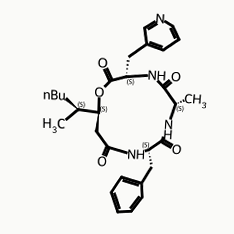 CCCC[C@H](C)[C@@H]1CC(=O)N[C@@H](Cc2ccccc2)C(=O)N[C@@H](C)C(=O)N[C@@H](Cc2cccnc2)C(=O)O1